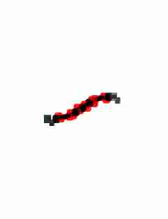 C=CC(=O)OCCCCCOC(=O)Oc1ccc(C(=O)Oc2ccc(OC(=O)c3ccc(OC(=O)OCCCCCOC(=O)C=C)cc3)cc2)cc1